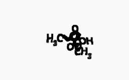 CCCC1CC(=O)C=C(O)C1C(=O)OC